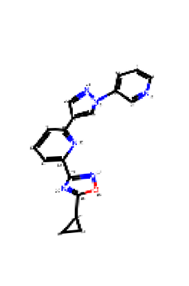 c1cncc(-n2cc(-c3cccc(-c4noc(C5CC5)n4)n3)cn2)c1